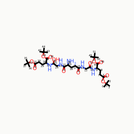 CC(C)(C)OC(=O)CCC(NC(=O)CNC(=O)CCC(N)C(=O)NCC(O)NC(CCC(=O)OC(C)(C)C)C(=O)OC(C)(C)C)C(=O)OC(C)(C)C